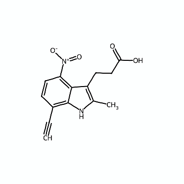 C#Cc1ccc([N+](=O)[O-])c2c(CCC(=O)O)c(C)[nH]c12